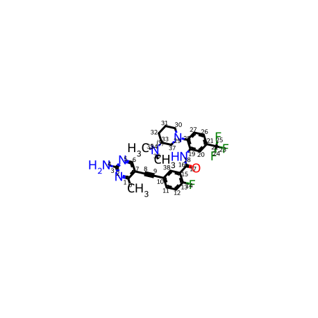 Cc1nc(N)ncc1C#Cc1ccc(F)c(C(=O)Nc2cc(C(F)(F)F)ccc2N2CCC[C@H](N(C)C)C2)c1